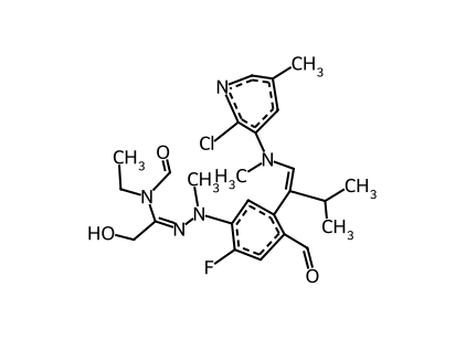 CCN(C=O)/C(CO)=N\N(C)c1cc(/C(=C\N(C)c2cc(C)cnc2Cl)C(C)C)c(C=O)cc1F